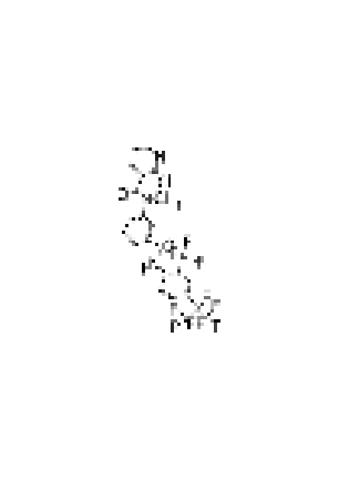 CN(C(=O)c1cccnc1Cl)c1cccc(C(=O)N(I)c2ccc(C(F)(C(F)(F)F)C(F)(F)F)cc2C(F)(F)F)c1